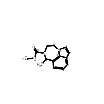 CC1c2cccc3ccn(c23)CCN1C(=O)OC(C)(C)C